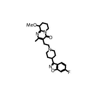 COC1CCCn2c1nc(C)c(CCN1CCC(c3noc4cc(F)ccc34)CC1)c2=O